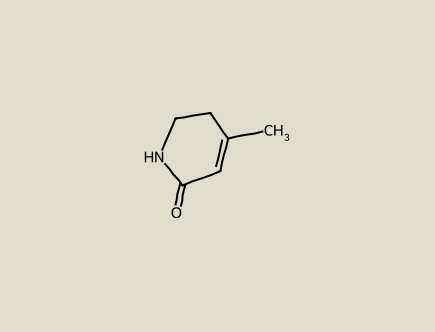 CC1=CC(=O)NCC1